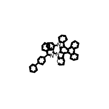 c1ccc(-c2ccc(-c3nc(-n4c5ccccc5c5c6c7ccccc7c7ccccc7c6c6c7ccccc7n(-c7ccccc7)c6c54)nc4ccccc34)cc2)cc1